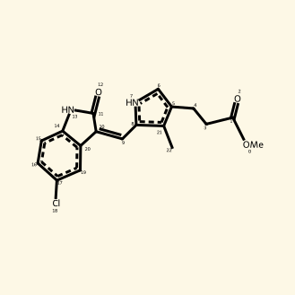 COC(=O)CCc1c[nH]c(/C=C2\C(=O)Nc3ccc(Cl)cc32)c1C